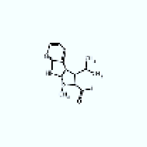 CC(C)C1C2c3cccnc3NC2N(C)C1C(=O)I